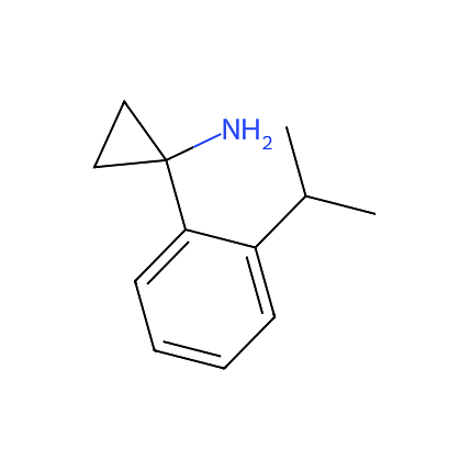 CC(C)c1ccccc1C1(N)CC1